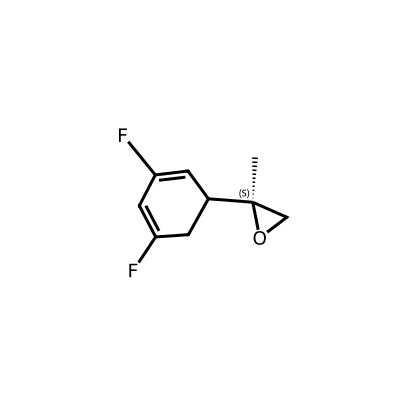 C[C@]1(C2C=C(F)C=C(F)C2)CO1